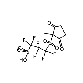 CC1(S(=O)(=O)C(F)(F)C(F)(F)C(F)(F)S(=O)(=O)O)C(=O)CCC1=O